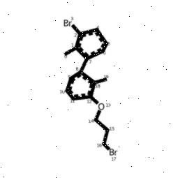 Cc1c(Br)cccc1-c1cccc(OCCCBr)c1C